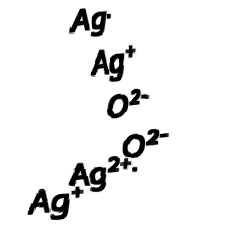 [Ag+2].[Ag+].[Ag+].[Ag].[O-2].[O-2]